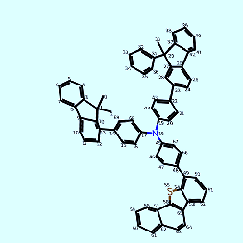 CC1(C)c2ccccc2-c2cccc(-c3ccc(N(c4ccc(-c5ccc6c(c5)C(C)(c5ccccc5)c5ccccc5-6)cc4)c4ccc(-c5cccc6c5sc5c7ccccc7ccc65)cc4)cc3)c21